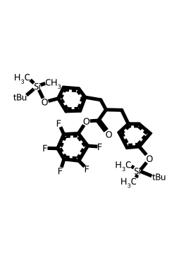 CC(C)(C)[Si](C)(C)Oc1ccc(CC(Cc2ccc(O[Si](C)(C)C(C)(C)C)cc2)C(=O)Oc2c(F)c(F)c(F)c(F)c2F)cc1